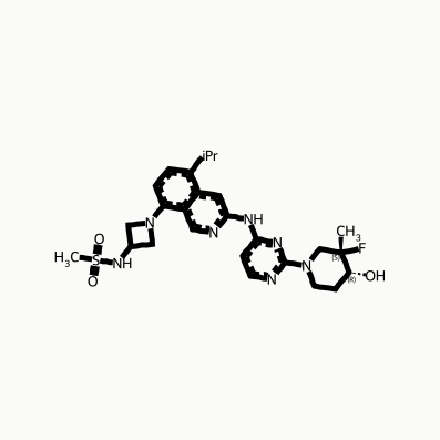 CC(C)c1ccc(N2CC(NS(C)(=O)=O)C2)c2cnc(Nc3ccnc(N4CC[C@@H](O)[C@@](C)(F)C4)n3)cc12